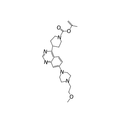 C=C(C)OC(=O)N1CCC(c2ncnc3cc(N4CCN(CCOC)CC4)ccc23)CC1